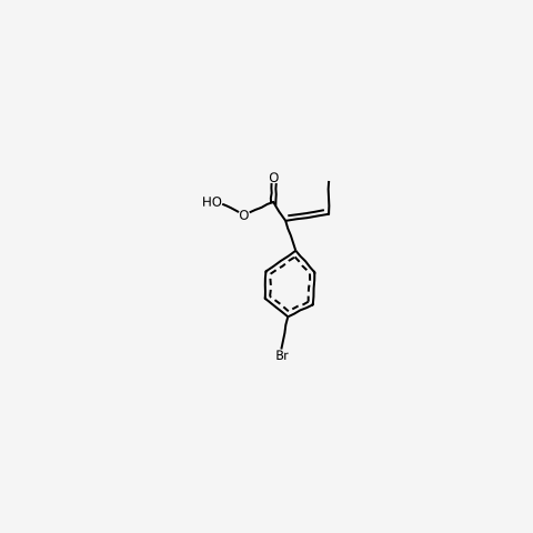 CC=C(C(=O)OO)c1ccc(Br)cc1